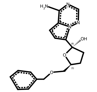 Nc1ncnn2c([C@@]3(O)CC[C@@H](COCc4ccccc4)O3)ccc12